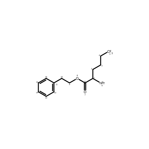 CCCC(CCCC(F)(F)F)C(=O)OCCc1ccccc1